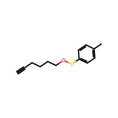 C#CCCCCOSc1ccc(C)cc1